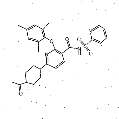 CC(=O)C1CCC(c2ccc(C(=O)NS(=O)(=O)c3ccccn3)c(Oc3c(C)cc(C)cc3C)n2)CC1